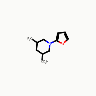 O=C(O)C1CC(C(F)(F)F)CN(c2ccco2)C1